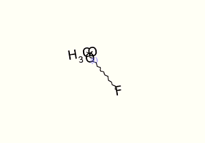 CC(=O)O/C=C/CCCCCCCCCCCCF